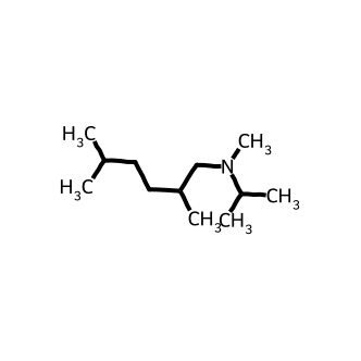 CC(C)CCC(C)CN(C)C(C)C